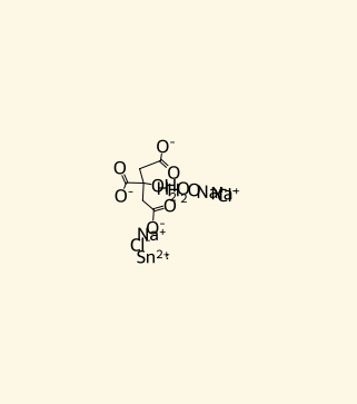 O.O.O=C([O-])CC(O)(CC(=O)[O-])C(=O)[O-].[Cl-].[Cl-].[Na+].[Na+].[Na+].[Sn+2]